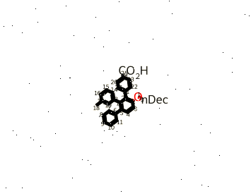 CCCCCCCCCCOc1ccc(-c2ccccc2)c(-c2cccc(C)c2)c1-c1ccc(C(=O)O)cc1